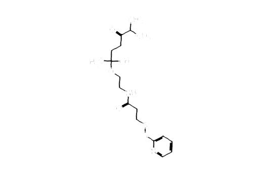 CC(C)C(=O)CCC(C)(C)OCCNC(=O)CCSSc1ccccn1